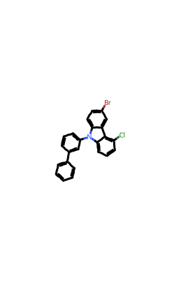 Clc1cccc2c1c1cc(Br)ccc1n2-c1cccc(-c2ccccc2)c1